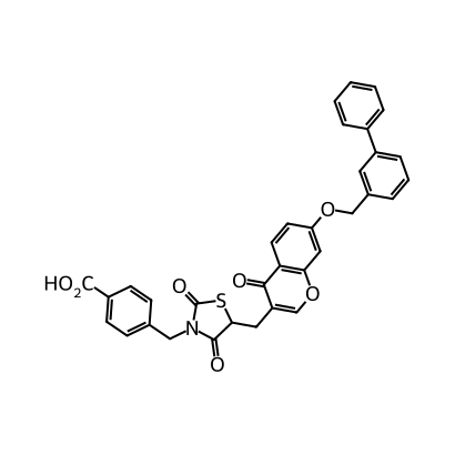 O=C(O)c1ccc(CN2C(=O)SC(Cc3coc4cc(OCc5cccc(-c6ccccc6)c5)ccc4c3=O)C2=O)cc1